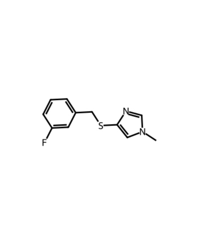 Cn1cnc(SCc2cccc(F)c2)c1